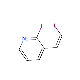 I/C=C\c1cccnc1I